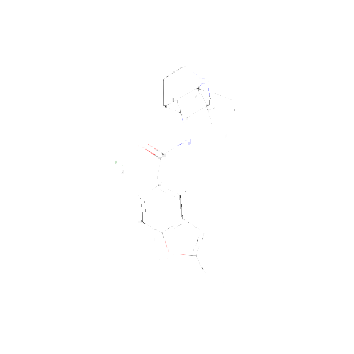 Cc1cc2cc(C(=O)NC3C4CCN(CC4)C3(C)C)ccc2o1.Cl